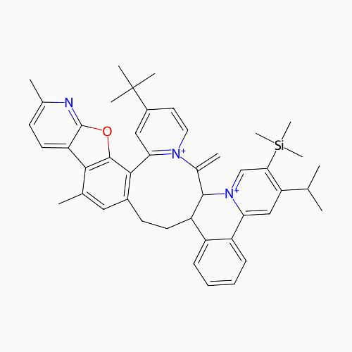 C=C1C2C(CCc3cc(C)c4c(oc5nc(C)ccc54)c3-c3cc(C(C)(C)C)cc[n+]31)c1ccccc1-c1cc(C(C)C)c([Si](C)(C)C)c[n+]12